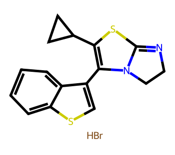 Br.c1ccc2c(C3=C(C4CC4)SC4=NCCN43)csc2c1